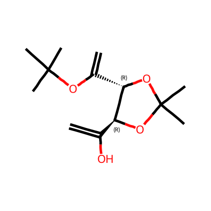 C=C(O)[C@@H]1OC(C)(C)O[C@H]1C(=C)OC(C)(C)C